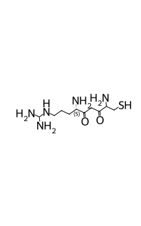 NC(N)NCCC[C@H](N)C(=O)CC(=O)C(N)CS